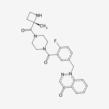 C[C@@]1(C(=O)N2CCN(C(=O)c3cc(Cn4ncc(=O)c5ccccc54)ccc3F)CC2)CCN1